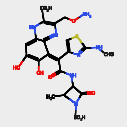 CC1C(NC(=O)C(c2csc(NC=O)n2)=c2c(O)c(O)cc3c2=NC(CON)=C(C(=O)O)N3)C(=O)N1S(=O)(=O)O